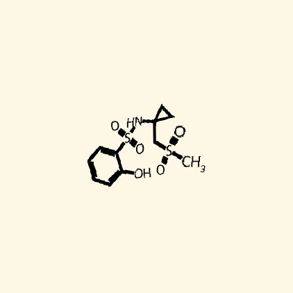 CS(=O)(=O)CC1(NS(=O)(=O)c2ccccc2O)CC1